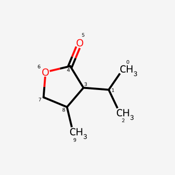 CC(C)C1C(=O)OCC1C